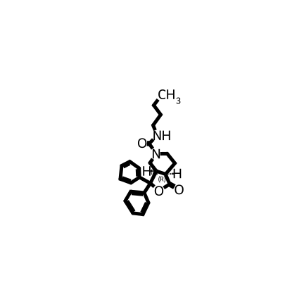 CCCCNC(=O)N1CC[C@H]2C(=O)OC(c3ccccc3)(c3ccccc3)[C@H]2C1